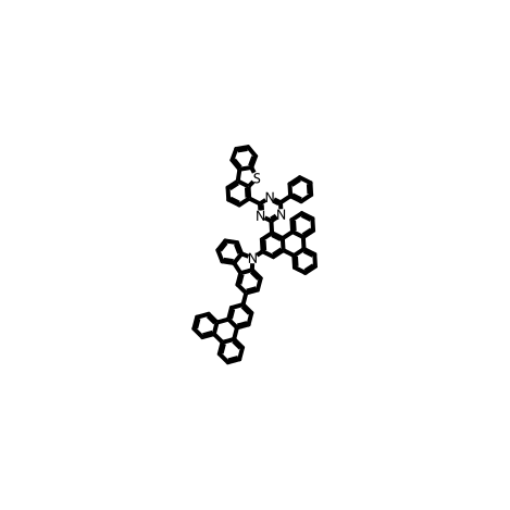 c1ccc(-c2nc(-c3cccc4c3sc3ccccc34)nc(-c3cc(-n4c5ccccc5c5cc(-c6ccc7c8ccccc8c8ccccc8c7c6)ccc54)cc4c5ccccc5c5ccccc5c34)n2)cc1